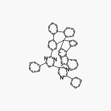 c1ccc(-c2cc(-c3cnc(-c4ccccc4)nc3)nc(-c3ccc4c(c3)C3(c5ccccc5-c5ccccc5-4)c4ccccc4-c4c3ccc3sc5ccccc5c43)n2)cc1